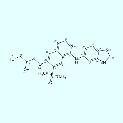 CP(C)(=O)c1cc2c(Nc3ccc4scnc4c3)ncnc2cc1OCC(O)CO